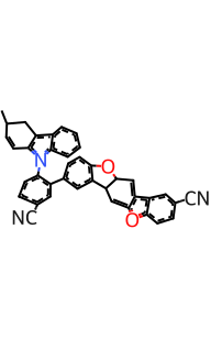 CC1C=Cc2c(c3ccccc3n2-c2ccc(C#N)cc2-c2ccc3c(c2)C2C=c4oc5ccc(C#N)cc5c4=CC2O3)C1